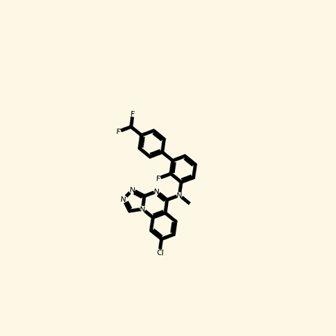 CN(c1cccc(-c2ccc(C(F)F)cc2)c1F)c1nc2nncn2c2cc(Cl)ccc12